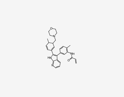 C=CC(=O)Nc1cc(-c2c(C3=CC(CN4CCOCC4)C(C)C=C3)[nH]c3ncccc23)ccc1C